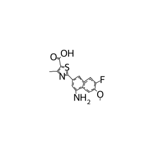 COc1cc2c(N)cc(-c3nc(C)c(C(=O)O)s3)cc2cc1F